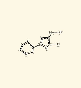 CC(C)Nc1cn(-c2cccnc2)nc1Cl